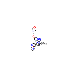 COc1ccc(CC2CC3CC(C2)N3c2ccc(-c3cc(OCCN4CCOCC4)cn4ncc(C#N)c34)cn2)cn1